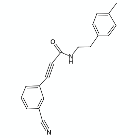 Cc1ccc(CCNC(=O)C#Cc2cccc(C#N)c2)cc1